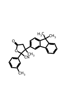 Cc1cccc(C2(C#N)OC(=O)CC2(C)c2ccc3c(c2)-c2ccccc2C3(C)C)c1